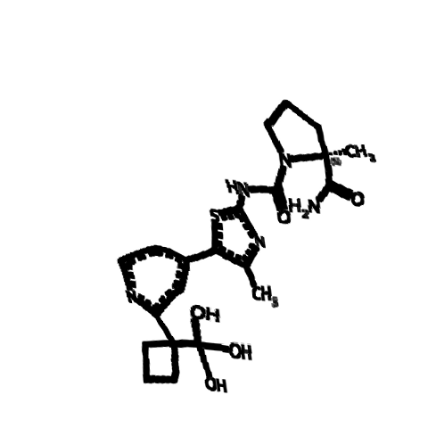 Cc1nc(NC(=O)N2CCC[C@@]2(C)C(N)=O)sc1-c1ccnc(C2(C(O)(O)O)CCC2)c1